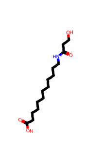 O=C(O)CCCCCCCCCCCNC(=O)CCO